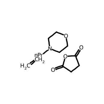 C=C.CCCN1CCOCC1.O=C1CCC(=O)O1